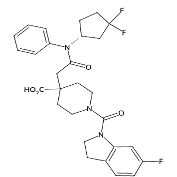 O=C(N1CCC(CC(=O)N(c2ccccc2)[C@@H]2CCC(F)(F)C2)(C(=O)O)CC1)N1CCc2ccc(F)cc21